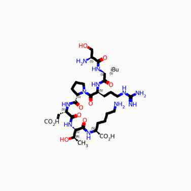 CC[C@H](C)[C@H](NC(=O)[C@@H](N)CO)C(=O)N[C@@H](CCCNC(=N)N)C(=O)N1CCC[C@H]1C(=O)N[C@@H](CC(=O)O)C(=O)N[C@H](C(=O)N[C@@H](CCCCN)C(=O)O)[C@@H](C)O